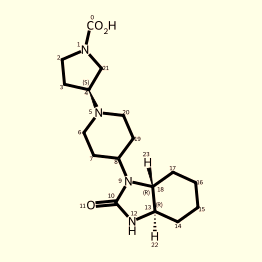 O=C(O)N1CC[C@H](N2CCC(N3C(=O)N[C@@H]4CCCC[C@H]43)CC2)C1